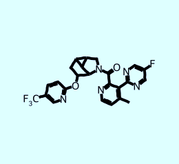 Cc1ccnc(C(=O)N2CC3C4CC(Oc5ccc(C(F)(F)F)cn5)C2C43)c1-c1ncc(F)cn1